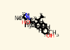 C[C@@]1(O)CC[C@H]2[C@H](CC[C@@H]3[C@@H]2CC[C@@]2(C)[C@H]3C(C3CC3)C[C@@H]2[C@@](C)(O)Cn2cc(C#N)cn2)C1